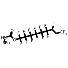 CCCCNC(=O)OC(F)(F)C(F)(F)C(F)(F)C(F)(F)C(F)(F)C(F)(F)C(F)CC(F)(F)F